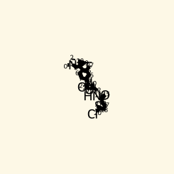 CN(C)CC1(c2ccc(N3CC(CNC(=O)c4ccc(Cl)s4)OC3=O)cc2F)CC1